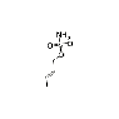 CC=CCOS(N)(=O)=O